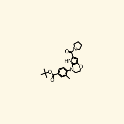 Cc1cc(C(=O)OC(C)(C)C)ccc1N1CCOc2cc(C(=O)N3CCCC3)[nH]c21